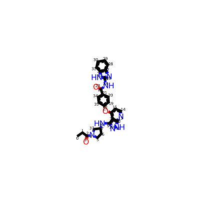 CCC(=O)N1CCC(Nc2n[nH]c3nccc(Oc4ccc(C(=O)Nc5nc6ccccc6[nH]5)cc4)c23)C1